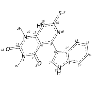 Cn1c(=O)c2c(-c3c[nH]c4ccccc34)nc(=S)[nH]c2n(C)c1=O